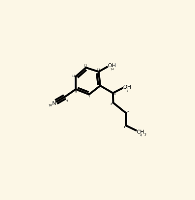 CCCCC(O)c1cc(C#N)ccc1O